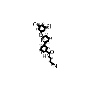 N#CCCNC(=O)c1cccc(-c2cccc(Oc3cc(Cl)cc(Cl)c3)n2)c1